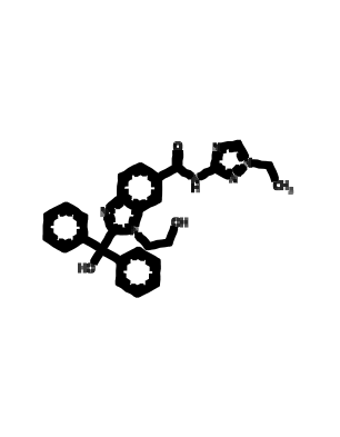 CCn1cnc(NC(=O)c2ccc3nc(C(O)(c4ccccc4)c4ccccc4)n(CCO)c3c2)n1